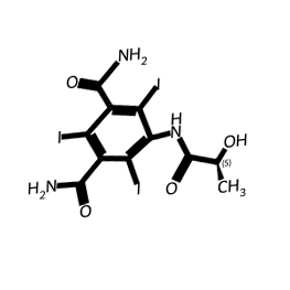 C[C@H](O)C(=O)Nc1c(I)c(C(N)=O)c(I)c(C(N)=O)c1I